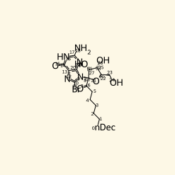 CCCCCCCCCCCCCCCC(=O)[C@@]1(n2c(Br)nc3c(=O)[nH]c(N)nc32)O[C@H](CO)[C@@H](O)[C@H]1O